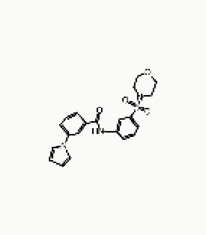 O=C(Nc1cccc(S(=O)(=O)N2CCOCC2)c1)c1cccc(-n2cccc2)c1